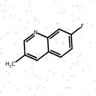 Cc1cnc2cc(F)ccc2c1